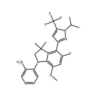 COc1cc(F)c(-c2cc(C(F)(F)F)n(C(C)C)n2)c2c1N(c1ccccc1N)CC2(C)C